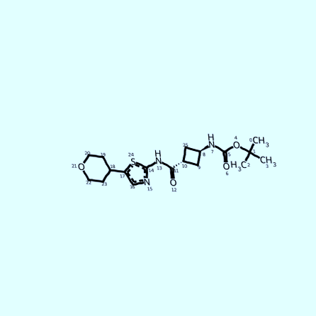 CC(C)(C)OC(=O)N[C@H]1C[C@H](C(=O)Nc2ncc(C3CCOCC3)s2)C1